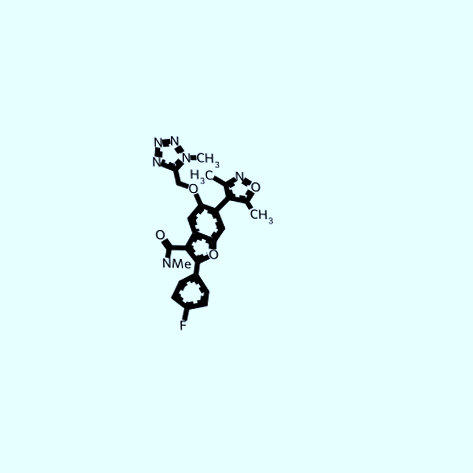 CNC(=O)c1c(-c2ccc(F)cc2)oc2cc(-c3c(C)noc3C)c(OCc3nnnn3C)cc12